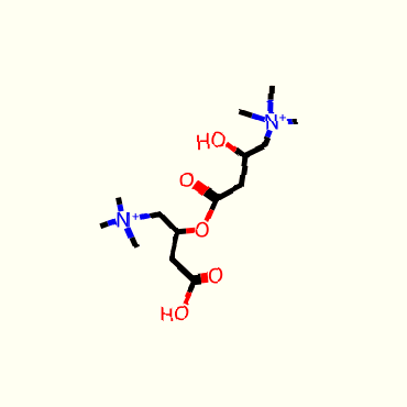 C[N+](C)(C)CC(O)CC(=O)OC(CC(=O)O)C[N+](C)(C)C